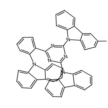 Cc1ccc2c(c1)c1ccccc1n2-c1nc(-c2ccccc2-n2c3ccccc3c3ccccc32)nc(-n2c3ccccc3c3ccccc32)n1